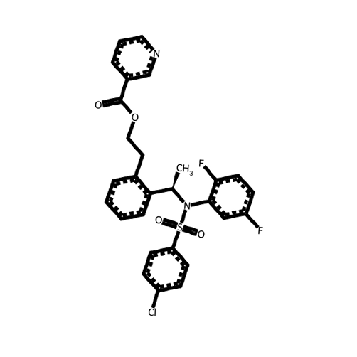 C[C@H](c1ccccc1CCOC(=O)c1cccnc1)N(c1cc(F)ccc1F)S(=O)(=O)c1ccc(Cl)cc1